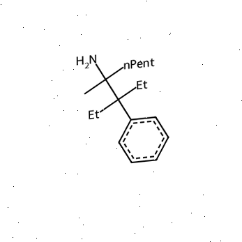 CCCCCC(C)(N)C(CC)(CC)c1ccccc1